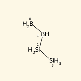 BB[SiH2][SiH3]